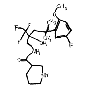 COc1ccc(F)cc1C(C)(C)CC(O)(CNC(=O)C1CCCNC1)C(F)(F)F